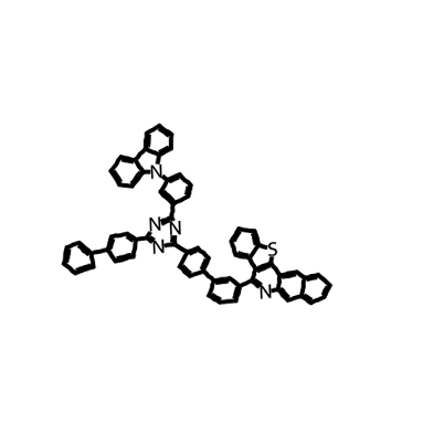 c1ccc(-c2ccc(-c3nc(-c4ccc(-c5cccc(-c6nc7cc8ccccc8cc7c7sc8ccccc8c67)c5)cc4)nc(-c4cccc(-n5c6ccccc6c6ccccc65)c4)n3)cc2)cc1